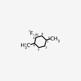 CC1CCC(C)[C@H](F)C1